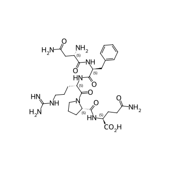 N=C(N)NCCC[C@H](NC(=O)[C@H](Cc1ccccc1)NC(=O)[C@@H](N)CC(N)=O)C(=O)N1CCC[C@H]1C(=O)N[C@@H](CCC(N)=O)C(=O)O